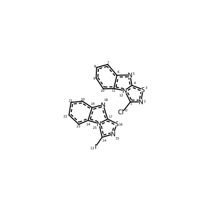 Clc1nsc2nc3ccccc3n12.Ic1nsc2nc3ccccc3n12